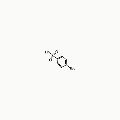 CC(C)(C)c1ccc(S([NH])(=O)=O)cc1